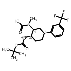 CN(C(=O)O)[C@H]1C[C@@H](c2cccc(C(F)(F)F)c2)CC[C@H]1NC(=O)OC(C)(C)C